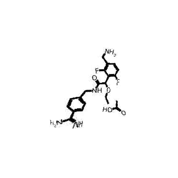 CC(=O)O.CCOC(C(=O)NCc1ccc(C(=N)N)cc1)c1c(F)ccc(CN)c1F